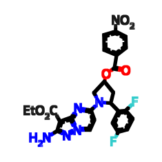 CCOC(=O)c1c(N)nn2ccc(N3C[C@@H](OC(=O)c4ccc([N+](=O)[O-])cc4)CC3c3cc(F)ccc3F)nc12